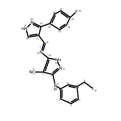 N#Cc1c(Nc2cccc(CI)c2)n[nH]c1/N=C/c1c[nH]nc1-c1ccc(F)cc1